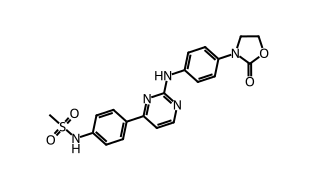 CS(=O)(=O)Nc1ccc(-c2ccnc(Nc3ccc(N4CCOC4=O)cc3)n2)cc1